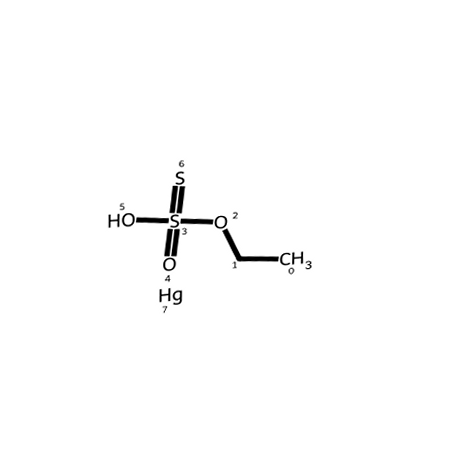 CCOS(=O)(O)=S.[Hg]